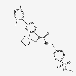 CNS(=O)(=O)c1ccc(CNC(=O)N2CC3(CCCC3)c3cc(-c4cc(C)ccc4C)ccc32)cc1